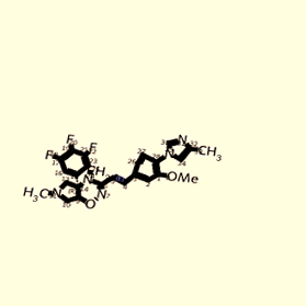 COc1cc(/C=C/C2=NOC3CN(C)C[C@@]3(c3cc(F)c(F)c(F)c3)N2C)ccc1-n1cnc(C)c1